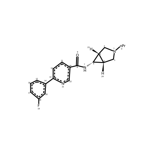 CCCN1C[C@@H]2[C@H](C1)[C@@H]2NC(=O)c1ccc(-c2cccc(F)c2)nc1